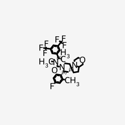 Cc1cc(F)ccc1[C@H]1C[C@]2(CCC3COCCN32)CCN1C(=O)N(C)[C@H](C)c1cc(C(F)(F)F)cc(C(F)(F)F)c1